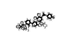 Cc1cnc(-c2cccc(NC(=O)C3(C)COC3)c2F)cc1-n1c(C)cc([C@H]2C[C@@H]2c2ccc(F)cc2)c(Cl)c1=O